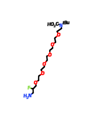 CC(C)(C)N(CCOCCOCCOCCOCCOCCOCC(F)CN)C(=O)O